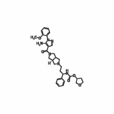 COc1ccccc1-n1ncc(C(=O)N2CC3CN(CCC(NC(=O)OC4CCOC4)c4ccccc4)C[C@H]3C2)c1N